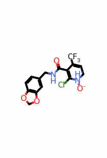 O=C(NCc1ccc2c(c1)OCO2)C1=C(Cl)[NH+]([O-])CC=C1C(F)(F)F